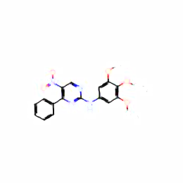 COc1cc(Nc2ncc([N+](=O)[O-])c(-c3ccccc3)n2)cc(OC)c1OC